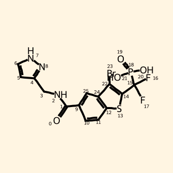 O=C(NCc1cc[nH]n1)c1ccc2sc(C(F)(F)P(=O)(O)O)c(Br)c2c1